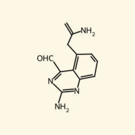 C=C(N)Cc1cccc2nc(N)nc(C=O)c12